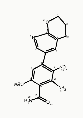 COc1cc(-c2cnc3c(c2)CCCO3)c([N+](=O)[O-])c(N)c1C(N)=O